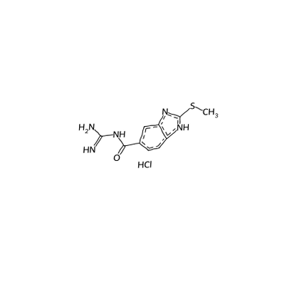 CSc1nc2cc(C(=O)NC(=N)N)ccc2[nH]1.Cl